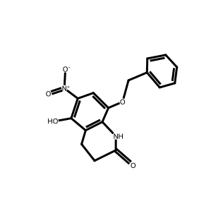 O=C1CCc2c(O)c([N+](=O)[O-])cc(OCc3ccccc3)c2N1